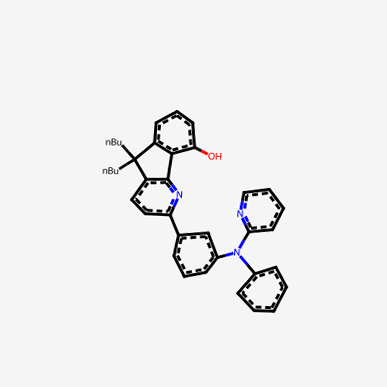 CCCCC1(CCCC)c2ccc(-c3cccc(N(c4ccccc4)c4ccccn4)c3)nc2-c2c(O)cccc21